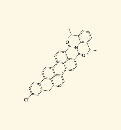 CC(C)c1cccc(C(C)C)c1N1C(=O)c2ccc3c4ccc5c6c(ccc(c7ccc(c2c37)C1=O)c64)-c1ccc(Cl)cc1C5